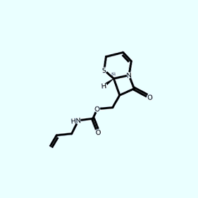 C=CCNC(=O)OCC1C(=O)N2C=CCS[C@@H]12